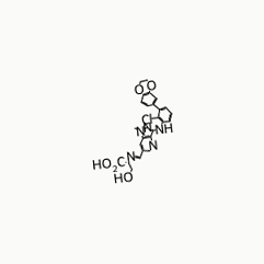 Cn1nc(Nc2cccc(-c3ccc4c(c3)OCCO4)c2Cl)c2ncc(C=N[C@H](CO)C(=O)O)cc21